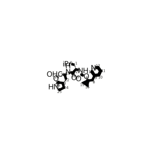 CC(C)C[C@H](NC(=O)OC1(Cc2cccnc2)CC1)C(=O)N[C@H](C=O)C[C@@H]1CCNC1=O